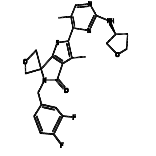 Cc1cnc(N[C@H]2CCOC2)nc1-c1sc2c(c1C)C(=O)N(Cc1ccc(F)c(F)c1)C21COC1